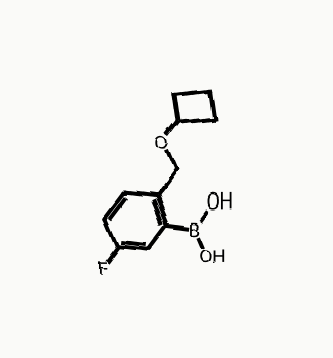 OB(O)c1cc(F)ccc1COC1CCC1